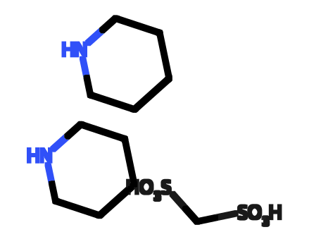 C1CCNCC1.C1CCNCC1.O=S(=O)(O)CS(=O)(=O)O